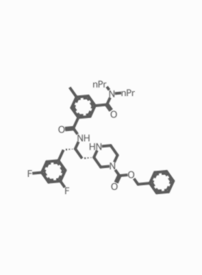 CCCN(CCC)C(=O)c1cc(C)cc(C(=O)N[C@@H](Cc2cc(F)cc(F)c2)C[C@H]2CN(C(=O)OCc3ccccc3)CCN2)c1